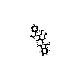 C=CCC(C(=O)N(CC(C)C)[C@@H](C=C)c1ccccc1)N1C(=O)c2ccccc2C1=O